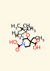 CCC1(C(=O)O)CCN(C(=O)O)CC1O[Si](C)(C)C(C)(C)C